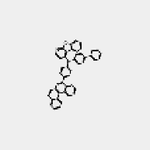 c1ccc(-c2ccc(N(c3ccc(-c4cc5ccc6ccccc6c5c5ccccc45)cc3)c3ccnc4oc5ccccc5c34)cc2)cc1